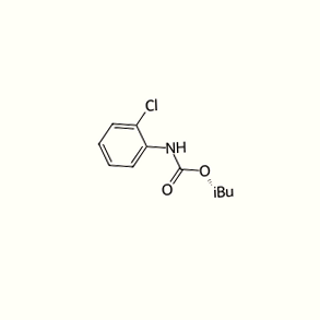 CC[C@@H](C)OC(=O)Nc1ccccc1Cl